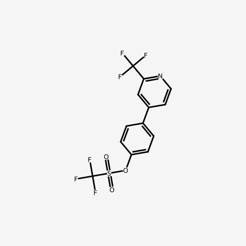 O=S(=O)(Oc1ccc(-c2ccnc(C(F)(F)F)c2)cc1)C(F)(F)F